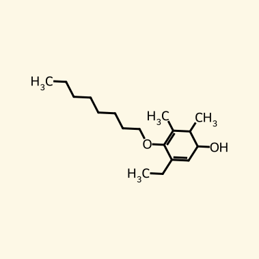 CCCCCCCCOC1=C(C)C(C)C(O)C=C1CC